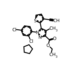 C#Cc1ccsc1-c1c(C)c(C(=O)OCC)nn1-c1ccc(Cl)cc1Cl.C1CCCC1